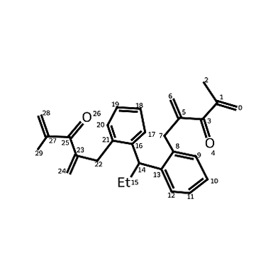 C=C(C)C(=O)C(=C)Cc1ccccc1C(CC)c1ccccc1CC(=C)C(=O)C(=C)C